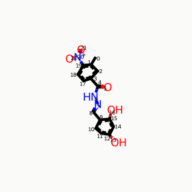 Cc1cc(C(=O)NN=Cc2ccc(O)cc2O)ccc1[N+](=O)[O-]